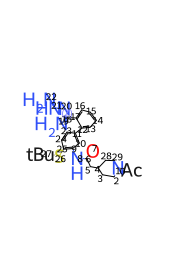 CC(=O)N1CCC(CC(=O)Nc2cc(-c3ccccc3/C(N)=N/NN)ccc2SC(C)(C)C)CC1